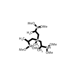 CO[SiH](OC)C(C)C[Si](C)(CC(C)[SiH](OC)OC)CC(C)[SiH](OC)OC